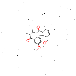 COc1ccc(C(=O)C(C)C(C)CC(=O)C2C(C)C=CCC2(C)C)cc1OC